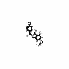 C[C@@H](c1ccc(Cl)cc1)N1Cc2cc(OC(F)(F)F)cc(Cl)c2C1=O